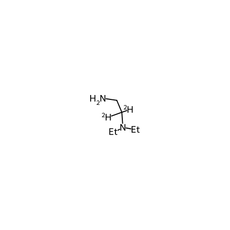 [2H]C([2H])(CN)N(CC)CC